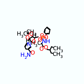 CCC(CC)COC(=O)C(C)NP(=O)(OCC1O[C@@H](N2C=CCC(C(N)=O)=C2)[C@@H]2OC(C)(C)O[C@H]12)Oc1ccccc1